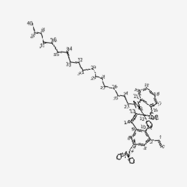 C=Cc1cc([N+](=O)[O-])cc2c1OC1(C=C2)[Se]c2ccccc2N1CCCCCCCCCCCCCCCCCC